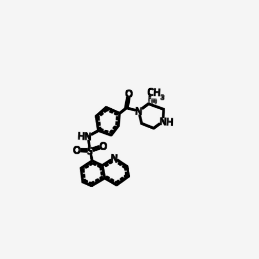 C[C@@H]1CNCCN1C(=O)c1ccc(NS(=O)(=O)c2cccc3cccnc23)cc1